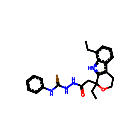 CCc1cccc2c3c([nH]c12)C(CC)(CC(=O)NNC(=S)Nc1ccccc1)OCC3